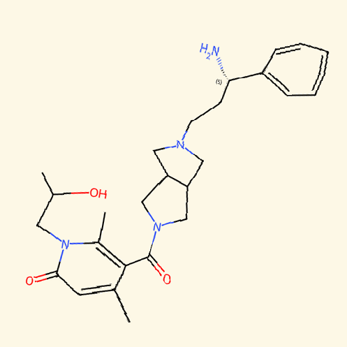 Cc1cc(=O)n(CC(C)O)c(C)c1C(=O)N1CC2CN(CC[C@H](N)c3ccccc3)CC2C1